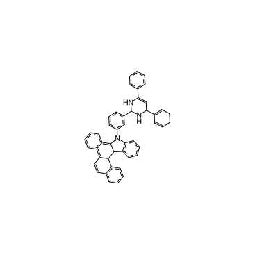 C1=CC(C2C=C(c3ccccc3)NC(c3cccc(N4C5=c6ccccc6=C6C=Cc7ccccc7C6C5c5ccccc54)c3)N2)=CCC1